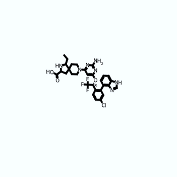 CCC1NC(C(=O)O)CC12CCN(c1cc(O[C@H](c3ccc(Cl)cc3-c3cccc4[nH]cnc34)C(F)(F)F)nc(N)n1)CC2